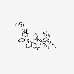 COCc1nccc(C(=O)N2CCc3cc(Cl)cc([C@@H]4CCCN4C(=O)OC(C)(C)C)c3C2)n1